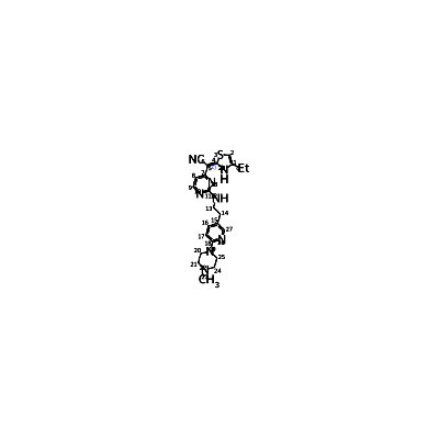 CCC1=CS/C(=C(\C#N)c2ccnc(NCCc3ccc(N4CCN(C)CC4)nc3)n2)N1